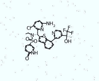 CCN([C@@H](c1cc2cccc(-c3cc([C@](C)(O)C(F)(F)F)ccn3)c2s1)c1nc(N)ccc1Cl)S(=O)(=O)c1ccc(=O)[nH]c1